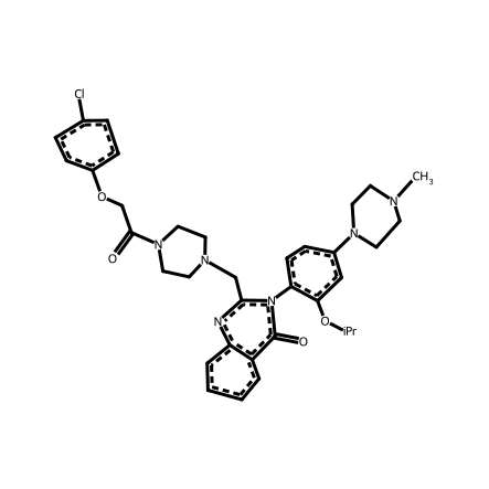 CC(C)Oc1cc(N2CCN(C)CC2)ccc1-n1c(CN2CCN(C(=O)COc3ccc(Cl)cc3)CC2)nc2ccccc2c1=O